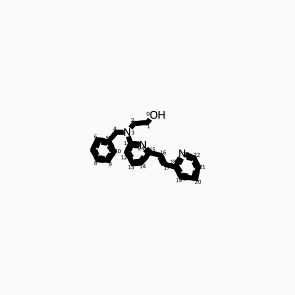 OCCN(Cc1ccccc1)c1cccc(C=Cc2ccccn2)n1